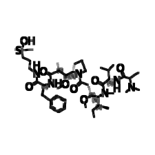 CC[C@H](C)[C@@H]([C@@H](CC(=O)N1CCC[C@H]1[C@H](OC)[C@@H](C)C(=O)N[C@@H](Cc1ccccc1)C(=O)NCCC[Si](C)(C)O)OC)N(C)C(=O)[C@@H](NC(=O)C(C)N(C)C)C(C)C